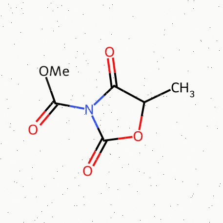 COC(=O)N1C(=O)OC(C)C1=O